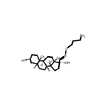 C[C@]12CC[C@H](O)C[C@H]1CC[C@@H]1[C@@H]2CC[C@]2(C)[C@@](O)(/C=N/OCCCN)CC[C@]12O